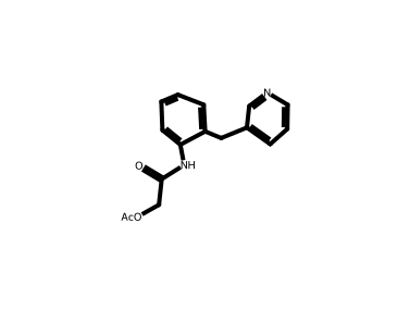 CC(=O)OCC(=O)Nc1ccccc1Cc1cccnc1